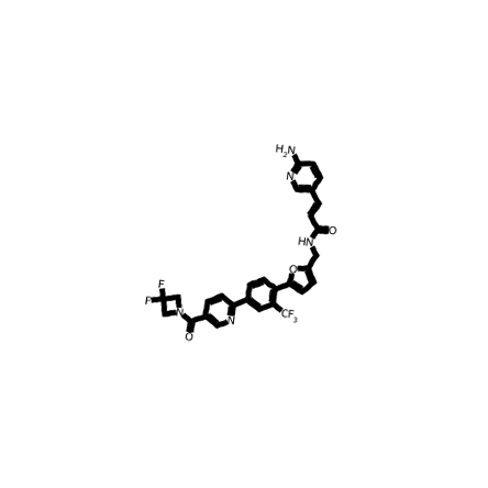 Nc1ccc(C=CC(=O)NCc2ccc(-c3ccc(-c4ccc(C(=O)N5CC(F)(F)C5)cn4)cc3C(F)(F)F)o2)cn1